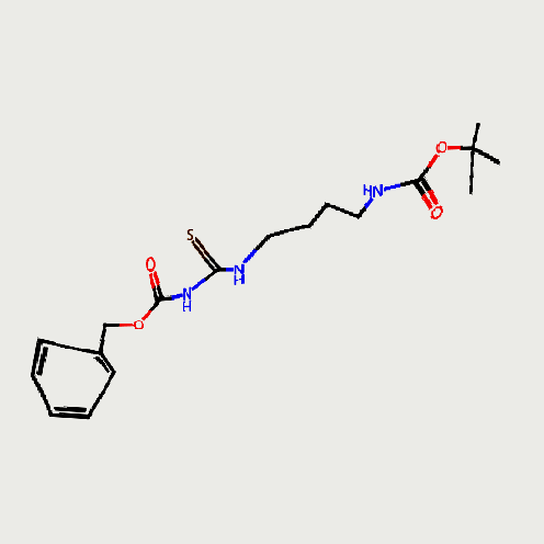 CC(C)(C)OC(=O)NCCCCNC(=S)NC(=O)OCc1ccccc1